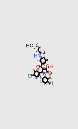 O=C(O)C=CC(=O)Nc1cccc(C(=O)C2=C(O)C(=O)N(c3cccc(Cl)c3F)C2c2ccc(Cl)cc2)c1